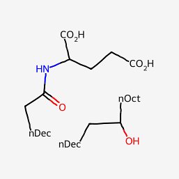 CCCCCCCCCCCC(=O)NC(CCC(=O)O)C(=O)O.CCCCCCCCCCCC(O)CCCCCCCC